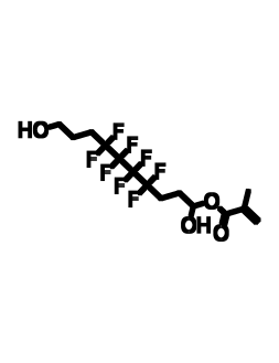 C=C(C)C(=O)OC(O)CCC(F)(F)C(F)(F)C(F)(F)C(F)(F)CCCO